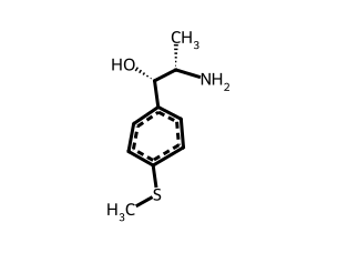 CSc1ccc([C@H](O)[C@H](C)N)cc1